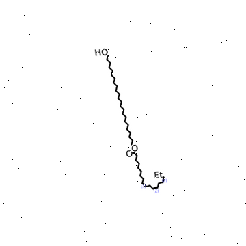 CC/C=C\C/C=C\C/C=C\CCCCCCCC(=O)OCCCCCCCCCCCCCCCCCCCCCCCCO